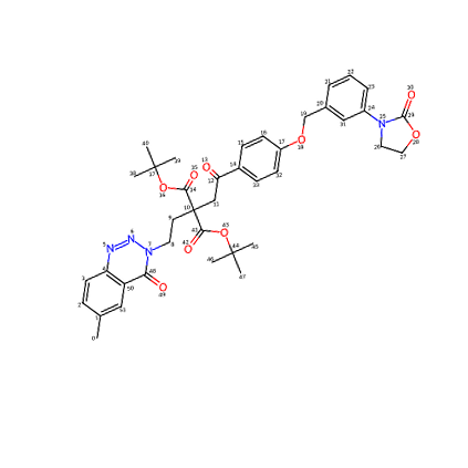 Cc1ccc2nnn(CCC(CC(=O)c3ccc(OCc4cccc(N5CCOC5=O)c4)cc3)(C(=O)OC(C)(C)C)C(=O)OC(C)(C)C)c(=O)c2c1